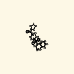 O=C(C1CCCC1)N1CCN(S(=O)(=O)c2cccc3ccccc23)CC1